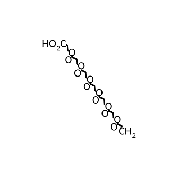 C=CC(=O)OCCC(=O)OCCC(=O)OCCC(=O)OCCC(=O)OCCC(=O)OCCC(=O)O